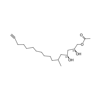 C#CCCCCCCCCCC(C)C[C@H](O)C[C@H](O)COC(C)=O